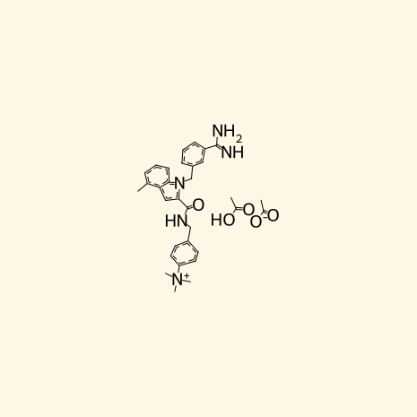 CC(=O)O.CC(=O)[O-].Cc1cccc2c1cc(C(=O)NCc1ccc([N+](C)(C)C)cc1)n2Cc1cccc(C(=N)N)c1